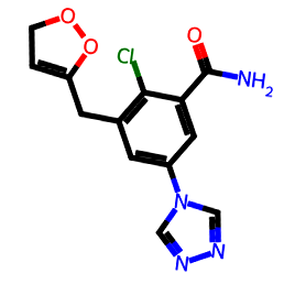 NC(=O)c1cc(-n2cnnc2)cc(CC2=CCOO2)c1Cl